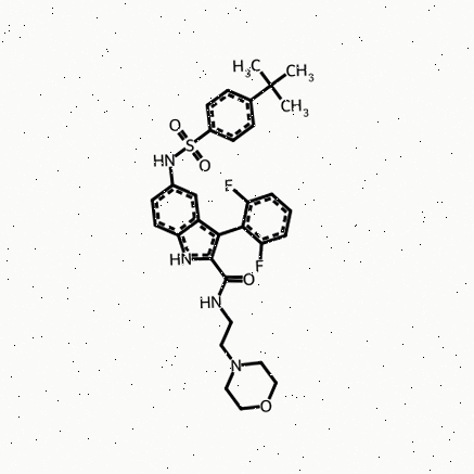 CC(C)(C)c1ccc(S(=O)(=O)Nc2ccc3[nH]c(C(=O)NCCN4CCOCC4)c(-c4c(F)cccc4F)c3c2)cc1